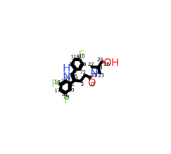 O=C(CCc1c(-c2ccc(F)cc2)[nH]c2c(F)cc(F)cc12)N1CC(CO)C1